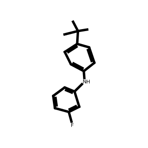 CC(C)(C)c1ccc(Nc2cccc(F)c2)cc1